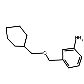 Nc1cccc(COCC2CCCCC2)c1